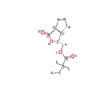 CCC(C)(C)C(=O)OC[C@@H]1OC(=O)C2CCCC21